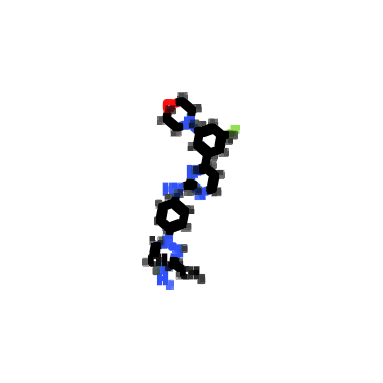 C=CN(/N=C(/C)N)c1ccc(Nc2nccc(-c3cc(F)cc(N4CCOCC4)c3)n2)cc1